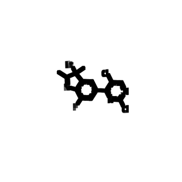 CCC1(C)C(C)=Nc2c(F)cc(-c3nc(Cl)ncc3Cl)cc21